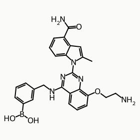 Cc1cc2c(C(N)=O)cccc2n1-c1nc(NCc2cccc(B(O)O)c2)c2cccc(OCCN)c2n1